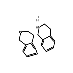 I.I.c1ccc2c(c1)CCNC2.c1ccc2c(c1)CCNC2